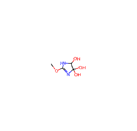 COC1=NC(O)(O)C(O)N1